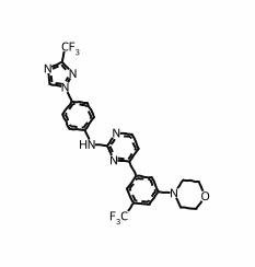 FC(F)(F)c1cc(-c2ccnc(Nc3ccc(-n4cnc(C(F)(F)F)n4)cc3)n2)cc(N2CCOCC2)c1